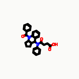 O=C(O)CCC(=O)N(c1ccccc1)C1c2ccccc2N(C(=O)c2ccccc2)C2CCCC21